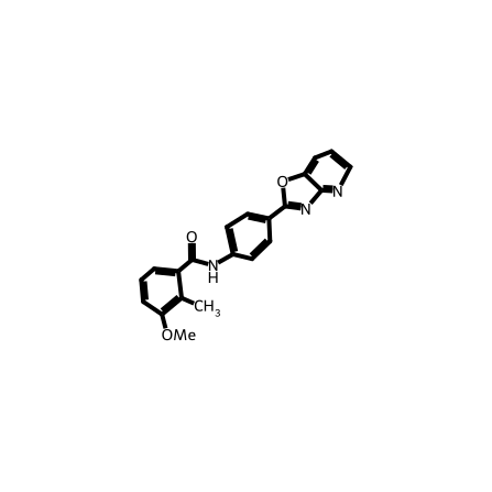 COc1cccc(C(=O)Nc2ccc(-c3nc4ncccc4o3)cc2)c1C